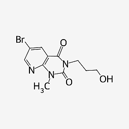 Cn1c(=O)n(CCCO)c(=O)c2cc(Br)cnc21